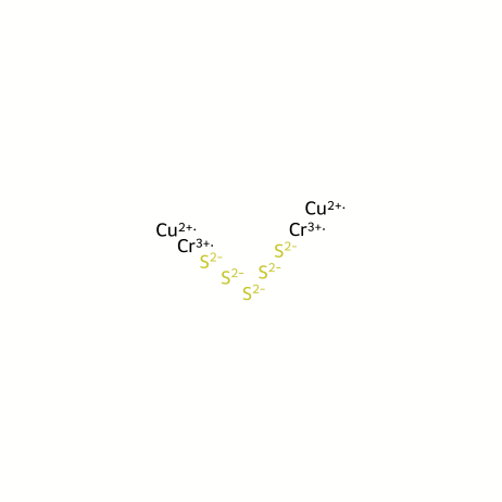 [Cr+3].[Cr+3].[Cu+2].[Cu+2].[S-2].[S-2].[S-2].[S-2].[S-2]